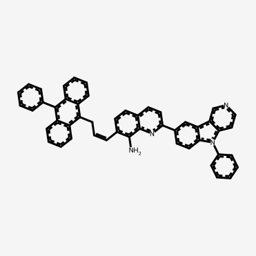 Nc1c(/C=C\Cc2c3ccccc3c(-c3ccccc3)c3ccccc23)ccc2ccc(-c3ccc4c(c3)c3cnccc3n4-c3ccccc3)nc12